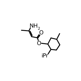 C/C(N)=C/C(=O)OC1CC(C)CCC1C(C)C